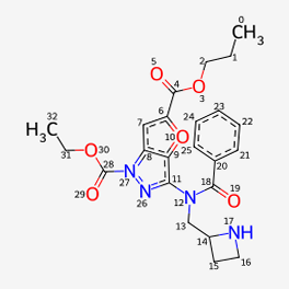 CCCOC(=O)c1cc2c(o1)c(N(CC1CCN1)C(=O)c1ccccc1)nn2C(=O)OCC